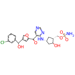 NS(=O)(=O)OC[C@H]1C[C@@H](Nc2ncncc2C(=O)c2cc(C(O)c3cccc(Cl)c3)co2)C[C@@H]1O